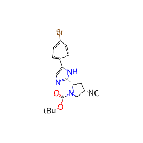 [C-]#[N+][C@H]1C[C@@H](c2ncc(-c3ccc(Br)cc3)[nH]2)N(C(=O)OC(C)(C)C)C1